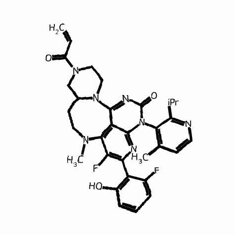 C=CC(=O)N1CCN2c3nc(=O)n(-c4c(C)ccnc4C(C)C)c4nc(-c5c(O)cccc5F)c(F)c(c34)N(C)CCC2C1